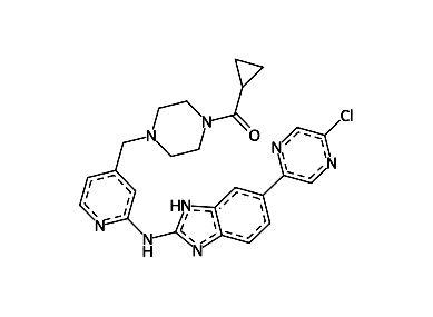 O=C(C1CC1)N1CCN(Cc2ccnc(Nc3nc4ccc(-c5cnc(Cl)cn5)cc4[nH]3)c2)CC1